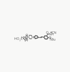 CCCCOc1ccc(C#Cc2ccc(N3CCN(S(=O)(=O)N[C@@H](C(=O)O)C(C)C)CC3)cc2)cc1C(=O)NCC#N